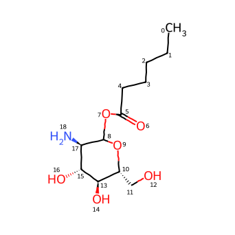 CCCCCC(=O)OC1O[C@H](CO)[C@@H](O)[C@H](O)[C@H]1N